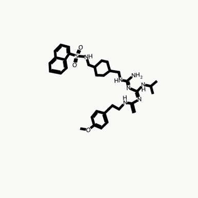 C=C(/N=C(\N=C(/N)NCC1CCC(CNS(=O)(=O)c2cccc3ccccc23)CC1)NC(C)C)NCCc1ccc(OC)cc1